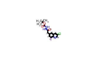 CC(C)(C)OC(=O)NNC(=O)Cc1cc(I)c2ncc(Cl)cc2c1